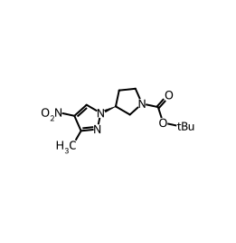 Cc1nn([C@H]2CCN(C(=O)OC(C)(C)C)C2)cc1[N+](=O)[O-]